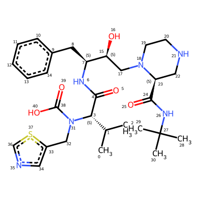 CC(C)[C@@H](C(=O)N[C@@H](Cc1ccccc1)[C@@H](O)CN1CCNC[C@H]1C(=O)NC(C)(C)C)N(Cc1cncs1)C(=O)O